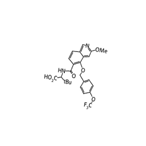 COc1cc2c(OCc3ccc(OC(F)(F)F)cc3)c(C(=O)NC(C(=O)O)C(C)(C)C)ccc2cn1